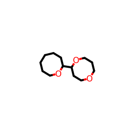 C1CCCC(C2CCOCCCO2)OCC1